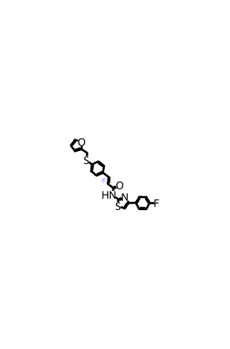 O=C(/C=C/c1ccc(SCc2ccco2)cc1)Nc1nc(-c2ccc(F)cc2)cs1